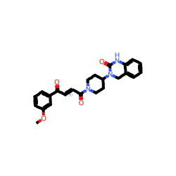 COc1cccc(C(=O)/C=C/C(=O)N2CCC(N3Cc4ccccc4NC3=O)CC2)c1